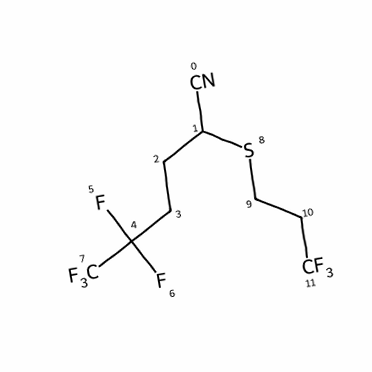 N#CC(CCC(F)(F)C(F)(F)F)SCCC(F)(F)F